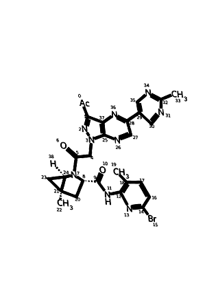 CC(=O)c1nn(CC(=O)N2[C@H](C(=O)Nc3nc(Br)ccc3C)C[C@@]3(C)C[C@@H]23)c2ncc(-c3cnc(C)nc3)nc12